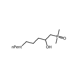 CCCCCCCCC(O)CP(C)(C)=O